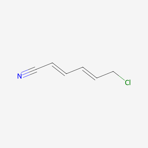 N#CC=CC=CCCl